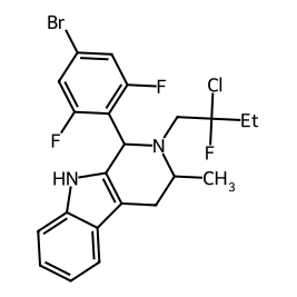 CCC(F)(Cl)CN1C(C)Cc2c([nH]c3ccccc23)C1c1c(F)cc(Br)cc1F